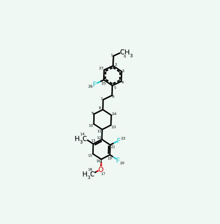 CCc1ccc(CCC2CCC(C3=C(C)C[C@H](OC)C(F)=C3F)CC2)c(F)c1